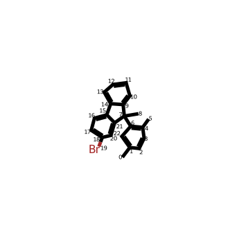 Cc1ccc(C)c(C2(C)c3ccccc3-c3ccc(Br)cc32)c1